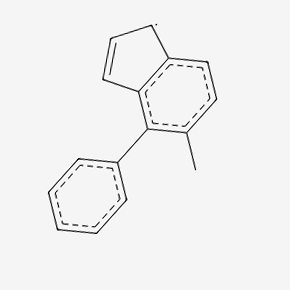 Cc1ccc2c(c1-c1ccccc1)C=C[CH]2